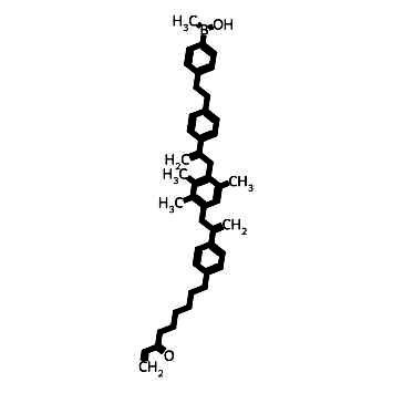 C=CC(=O)CCCCCCc1ccc(C(=C)Cc2cc(C)c(CC(=C)c3ccc(CCc4ccc(B(C)O)cc4)cc3)c(C)c2C)cc1